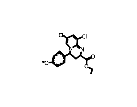 CCOC(=O)C1CC(c2ccc(OC)cc2)N2C=C(Cl)C=C(Cl)C2=N1